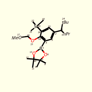 CCCC(c1cc(B2OC(C)(C)C(C)(C)O2)c(OCOC)c([Si](C)(C)C)c1)C(C)(C)C